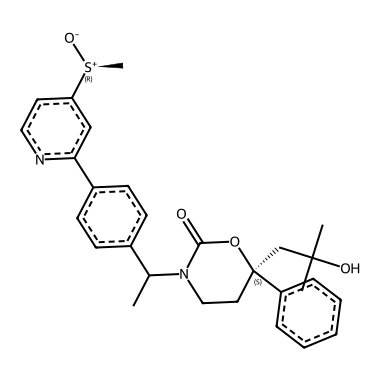 CC(c1ccc(-c2cc([S@+](C)[O-])ccn2)cc1)N1CC[C@](CC(C)(C)O)(c2ccccc2)OC1=O